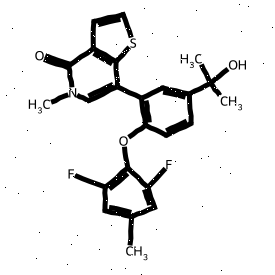 Cc1cc(F)c(Oc2ccc(C(C)(C)O)cc2-c2cn(C)c(=O)c3ccsc23)c(F)c1